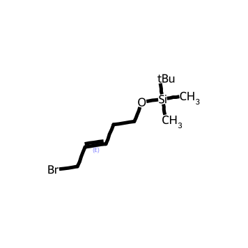 CC(C)(C)[Si](C)(C)OCC/C=C/CBr